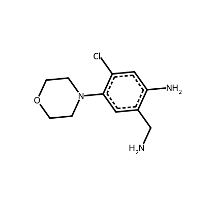 NCc1cc(N2CCOCC2)c(Cl)cc1N